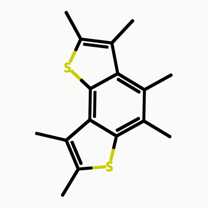 Cc1sc2c(c1C)c(C)c(C)c1sc(C)c(C)c12